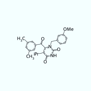 COc1cccc(Cn2c(C(=O)c3cc(C)cc(C)c3)c(C(C)C)c(=O)[nH]c2=O)c1